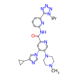 CC(C)n1nnnc1-c1cccc(NC(=O)c2cc(-n3cnc(C4CC4)c3)c(N3CCN(C)CC3)cn2)n1